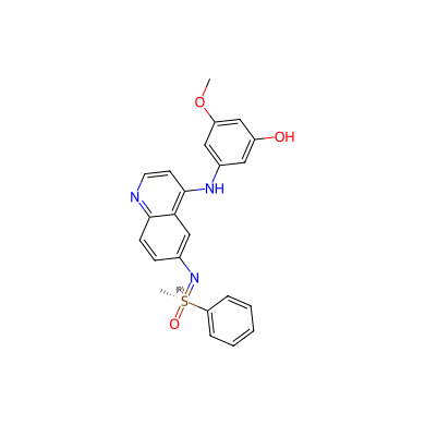 COc1cc(O)cc(Nc2ccnc3ccc(N=[S@](C)(=O)c4ccccc4)cc23)c1